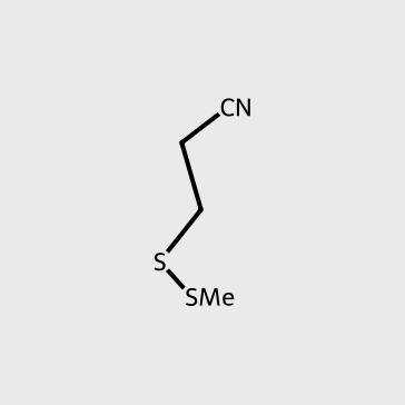 CSSCCC#N